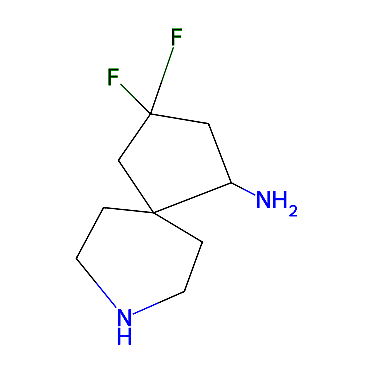 NC1CC(F)(F)CC12CCNCC2